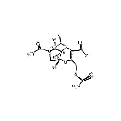 NC(=O)OCC1=C(C(=O)O)N2C(=O)[C@@H]3[C@H]2[C@@H](CN3C(=O)O)O1